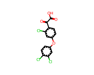 O=C(O)C(=O)c1ccc(Oc2ccc(Cl)c(Cl)c2)cc1Cl